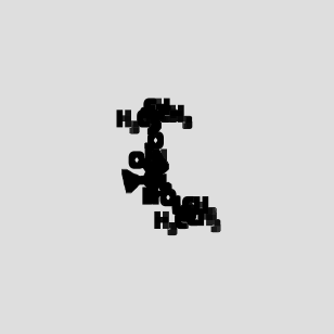 C[Si](C)(C)CCOCn1ncc2c(c(C3CC3)c(Br)n2COCC[Si](C)(C)C)c1=O